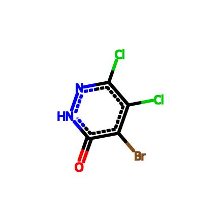 O=c1[nH]nc(Cl)c(Cl)c1Br